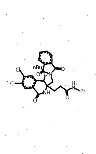 CCCCOC1c2cc(Cl)c(Cl)cc2C(=O)NC1(CCC(=O)NC(C)C)CN1C(=O)c2ccccc2C1=O